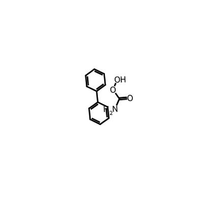 NC(=O)OO.c1ccc(-c2ccccc2)cc1